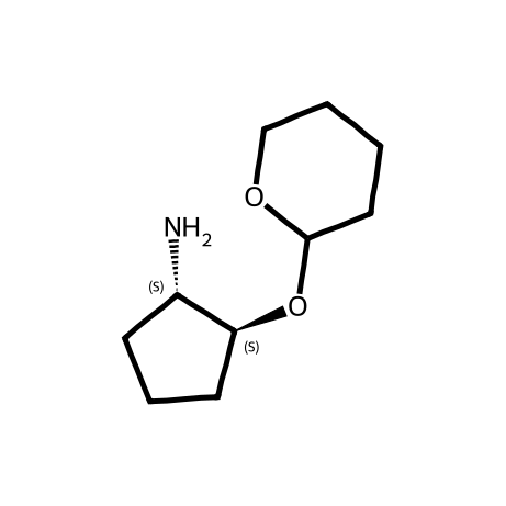 N[C@H]1CCC[C@@H]1OC1CCCCO1